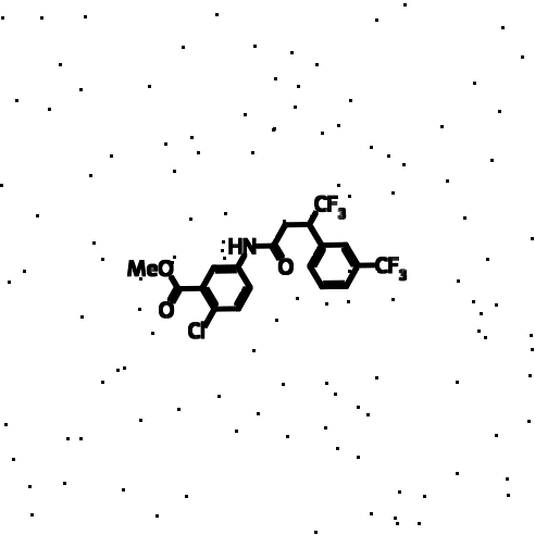 COC(=O)c1cc(NC(=O)CC(c2cccc(C(F)(F)F)c2)C(F)(F)F)ccc1Cl